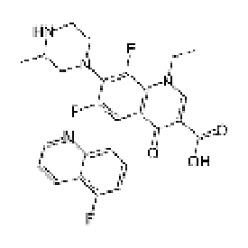 CCn1cc(C(=O)O)c(=O)c2cc(F)c(N3CCNC(C)C3)c(F)c21.Fc1cccc2ncccc12